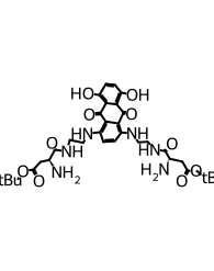 CC(C)(C)OC(=O)C[C@H](N)C(=O)NCCNc1ccc(NCCNC(=O)[C@@H](N)CC(=O)OC(C)(C)C)c2c1C(=O)c1c(O)ccc(O)c1C2=O